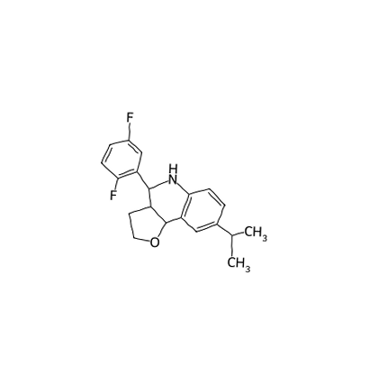 CC(C)c1ccc2c(c1)C1OCCC1C(c1cc(F)ccc1F)N2